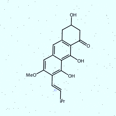 COc1cc2cc3c(c(O)c2c(O)c1/C=C/C(C)C)C(=O)CC(O)C3